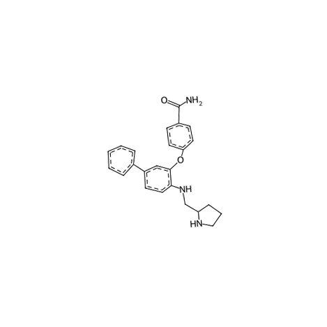 NC(=O)c1ccc(Oc2cc(-c3ccccc3)ccc2NCC2CCCN2)cc1